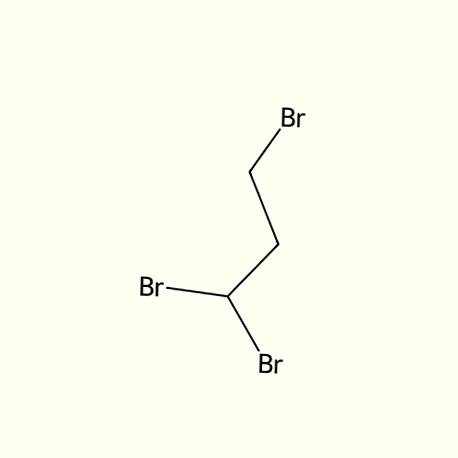 BrCCC(Br)Br